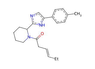 CCC=CCC(=O)N1CCCCC1c1ncc(-c2ccc(C)cc2)[nH]1